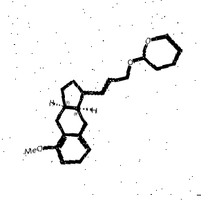 COC1=C2C[C@H]3CCC(CCCOC4CCCCO4)[C@H]3CC2=CCC1